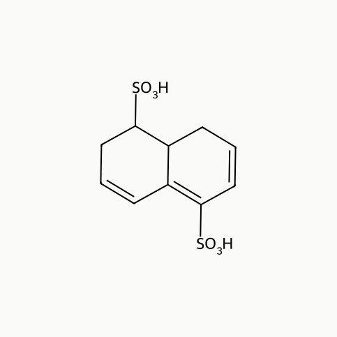 O=S(=O)(O)C1=C2C=CCC(S(=O)(=O)O)C2CC=C1